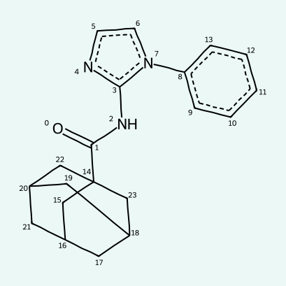 O=C(Nc1nccn1-c1ccccc1)C12CC3CC(CC(C3)C1)C2